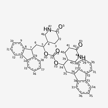 O=C1CCC(C(CC2c3ccccc3-c3ccccc32)OC(=O)OC(CC2c3ccccc3-c3ccccc32)C2CCC(=O)NC2)CN1